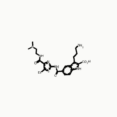 CCc1sc(NC(=O)c2ccc3[nH]c(C(=O)O)c(CCCN)c3c2)nc1C(=O)NCCN(C)C